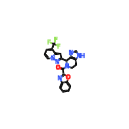 O=C(c1nc2ccccc2o1)N1CCc2[nH]cnc2C1c1cc2c(C(F)(F)F)cccn2n1